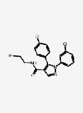 CC(C)CCNC(=O)c1cnn(-c2cccc(Cl)c2)c1-c1ccc(Cl)cc1